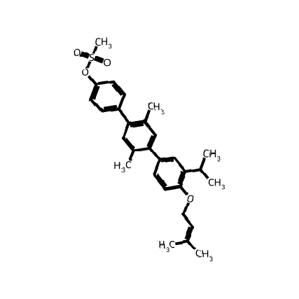 CC(C)=CCOc1ccc(-c2cc(C)c(-c3ccc(OS(C)(=O)=O)cc3)cc2C)cc1C(C)C